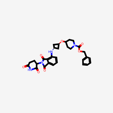 O=C1CCC(N2C(=O)c3cccc(N[C@H]4C[C@H](OC5CCN(C(=O)OCc6ccccc6)CC5)C4)c3C2=O)C(=O)N1